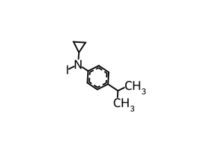 CC(C)c1ccc(N(I)C2CC2)cc1